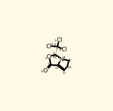 O=C1O[C@H](C(Cl)(Cl)Cl)N2CCC=C12